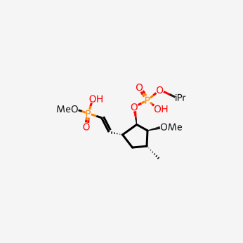 CO[C@@H]1[C@H](OP(=O)(O)OC(C)C)[C@@H](/C=C/P(=O)(O)OC)C[C@H]1C